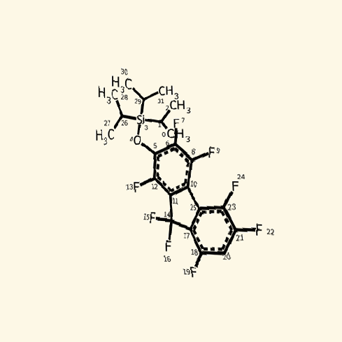 CC(C)[Si](Oc1c(F)c(F)c2c(c1F)C(F)(F)c1c(F)[c]c(F)c(F)c1-2)(C(C)C)C(C)C